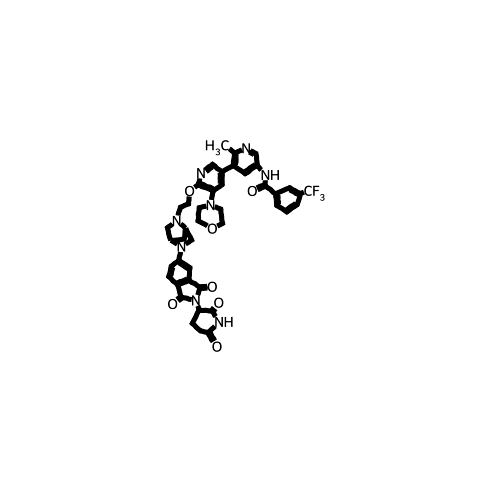 Cc1ncc(NC(=O)c2cccc(C(F)(F)F)c2)cc1-c1cnc(OCCN2CC3CC2CN3c2ccc3c(c2)C(=O)N(C2CCC(=O)NC2=O)C3=O)c(N2CCOCC2)c1